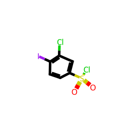 O=S(=O)(Cl)c1ccc(I)c(Cl)c1